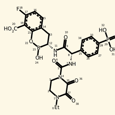 CCN1CCN(C(=O)N[C@H](C(=O)N[C@H]2Cc3ccc(F)c(C(=O)O)c3OB2O)c2ccc(P(=O)(O)O)cc2)C(=O)C1=O